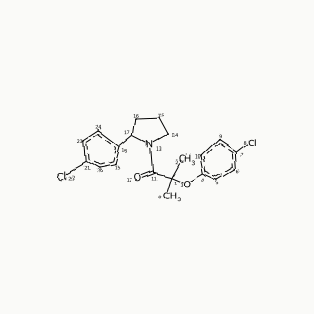 CC(C)(Oc1ccc(Cl)cc1)C(=O)N1CCCC1c1ccc(Cl)cc1